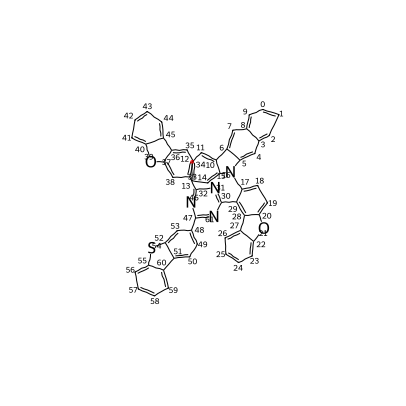 c1ccc2cc3c(cc2c1)c1ccccc1n3-c1ccc2oc3ccccc3c2c1-c1nc(-c2ccc3c(c2)oc2ccccc23)nc(-c2ccc3c(c2)sc2ccccc23)n1